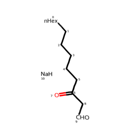 CCCCCCCCCCCC(=O)CC=O.[NaH]